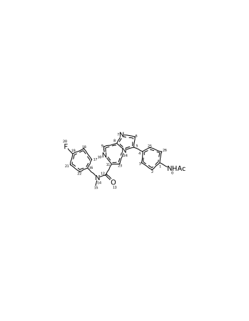 CC(=O)Nc1ccc(-c2cnc3cnc(C(=O)N(C)c4ccc(F)cc4)cn23)cc1